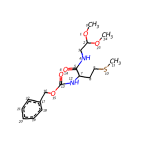 COC(CNC(=O)C(CCSC)NC(=O)OCc1ccccc1)OC